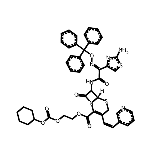 Nc1nc(C(=NOC(c2ccccc2)(c2ccccc2)c2ccccc2)C(=O)N[C@@H]2C(=O)N3C(C(=O)OCCOC(=O)OC4CCCCC4)=C(/C=C\c4cccnc4)CS[C@@H]23)cs1